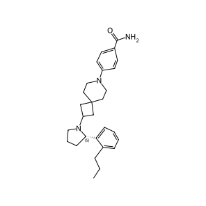 CCCc1ccccc1[C@@H]1CCCN1C1CC2(CCN(c3ccc(C(N)=O)cc3)CC2)C1